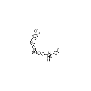 O=C(N1CC2(CC(c3nc(C4CC(F)(F)C4)n[nH]3)C2)C1)N1CC2(CN(Cc3cc(C(F)(F)F)ns3)C2)C1